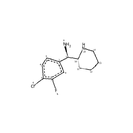 N[C@H](c1ccc(Cl)c(F)c1)[C@H]1CCCCN1